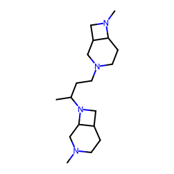 CC(CCN1CCC2C(C1)CN2C)N1CC2CCN(C)CC21